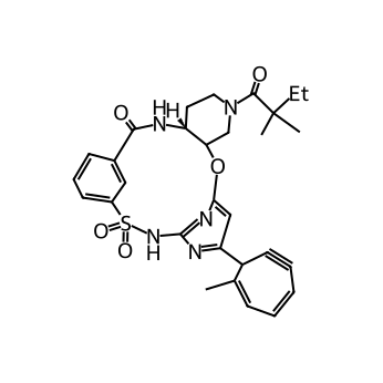 CCC(C)(C)C(=O)N1CC[C@H]2NC(=O)c3cccc(c3)S(=O)(=O)Nc3nc(cc(C4C#CC=CC=C4C)n3)OC2C1